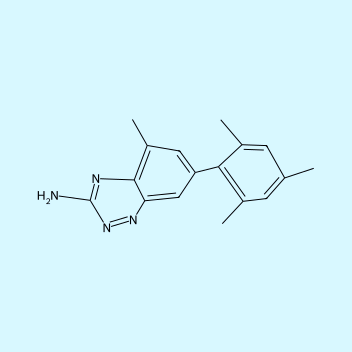 Cc1cc(C)c(-c2cc(C)c3nc(N)nnc3c2)c(C)c1